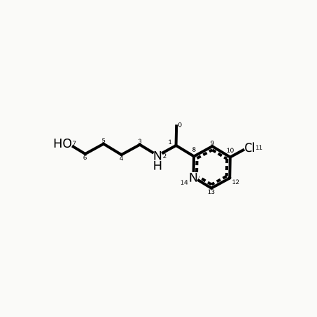 CC(NCCCCO)c1cc(Cl)ccn1